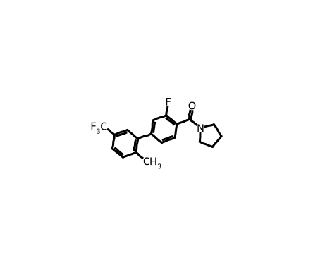 Cc1ccc(C(F)(F)F)cc1-c1ccc(C(=O)N2CCCC2)c(F)c1